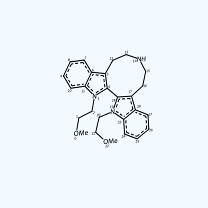 COCCn1c2c(c3ccccc31)CCNCCc1c-2n(CCOC)c2ccccc12